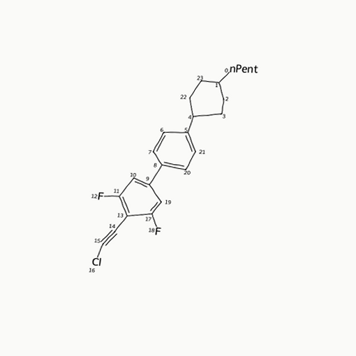 CCCCCC1CCC(c2ccc(-c3cc(F)c(C#CCl)c(F)c3)cc2)CC1